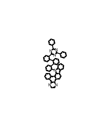 c1ccc(-c2nc(-c3ccccc3)nc(-c3ccccc3-c3ccccc3-c3ccccc3-n3c4ccccc4c4ccc5c6nccnc6c6ccccc6c5c43)n2)cc1